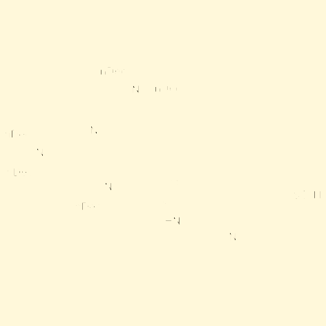 CCCCCCCCCCN(CCCCCCCCCC)CCN(CCN(CCCCCCCCCC)CCCCCCCCCC)CCN(CCCCCCCCCC)CCC(=O)NCC[N+](C)(C)CCCS(=O)(=O)O